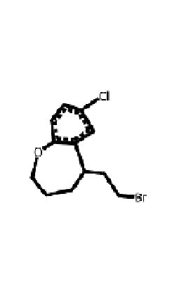 Clc1ccc2c(c1)C(CCBr)CCCO2